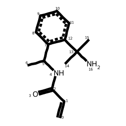 C=CC(=O)NC(C)c1ccccc1C(C)(C)N